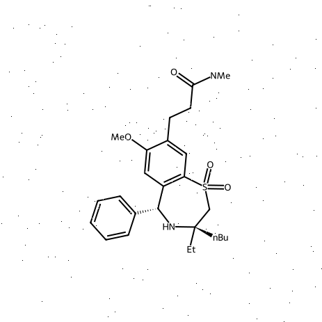 CCCC[C@]1(CC)CS(=O)(=O)c2cc(CCC(=O)NC)c(OC)cc2[C@@H](c2ccccc2)N1